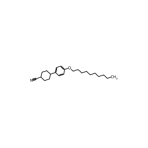 CCCCCCCCCCOc1ccc(C2CCC(C#N)CC2)cc1